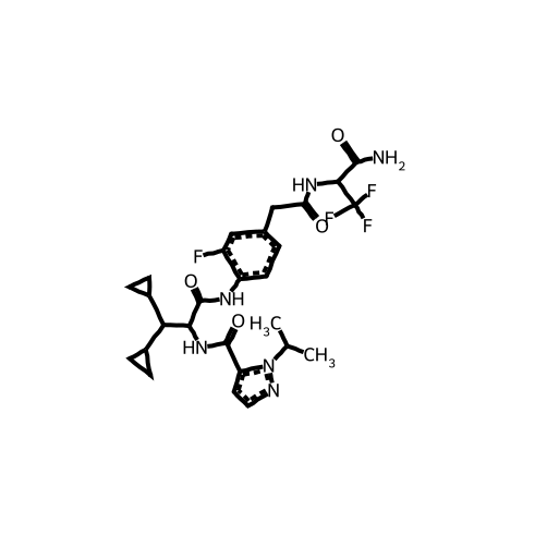 CC(C)n1nccc1C(=O)NC(C(=O)Nc1ccc(CC(=O)NC(C(N)=O)C(F)(F)F)cc1F)C(C1CC1)C1CC1